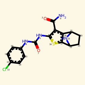 NC(=O)c1c(NC(=O)Nc2ccc(Cl)cc2)sc2c1C1CCC2N1